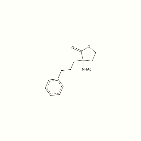 CC(=O)NC1(CCCc2ccccc2)CCOC1=O